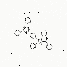 c1ccc(-c2nc(-c3ccccc3)nc(-c3ccc(-c4c(-c5ccccc5)oc5c(-c6ccccc6)nc6ccccc6c45)cc3)n2)cc1